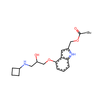 CC(C)(C)C(=O)OCc1cc2c(OCC(O)CNC3CCC3)cccc2[nH]1